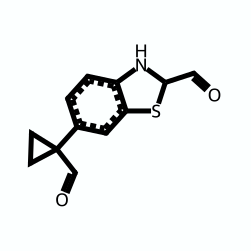 O=CC1Nc2ccc(C3(C=O)CC3)cc2S1